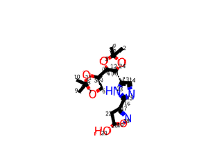 CC1(C)O[C@H]([C@H]2COC(C)(C)O2)[C@@H](c2cnc(C3=NOC(O)C3)[nH]2)O1